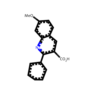 COc1ccc2cc(C(=O)O)c(-c3ccccc3)nc2c1